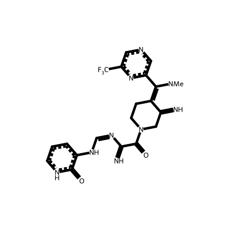 CN/C(=C1/CCN(C(=O)C(=N)/N=C\Nc2ccc[nH]c2=O)CC1=N)c1cncc(C(F)(F)F)n1